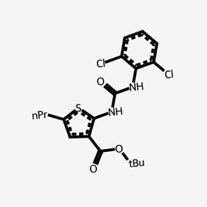 CCCc1cc(C(=O)OC(C)(C)C)c(NC(=O)Nc2c(Cl)cccc2Cl)s1